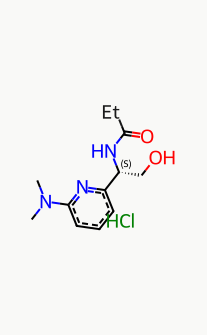 CCC(=O)N[C@H](CO)c1cccc(N(C)C)n1.Cl